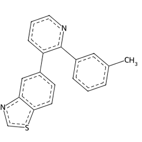 Cc1cccc(-c2ncccc2-c2ccc3scnc3c2)c1